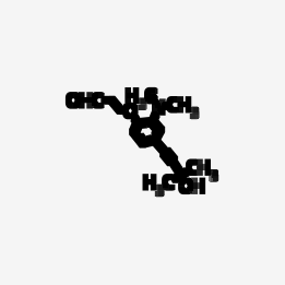 CN(C)c1cc(C#CC(C)(C)O)ccc1OCCC=O